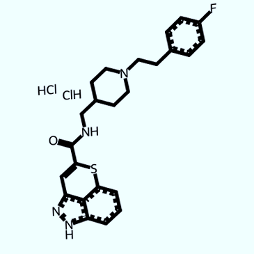 Cl.Cl.O=C(NCC1CCN(CCc2ccc(F)cc2)CC1)C1=Cc2n[nH]c3cccc(c23)S1